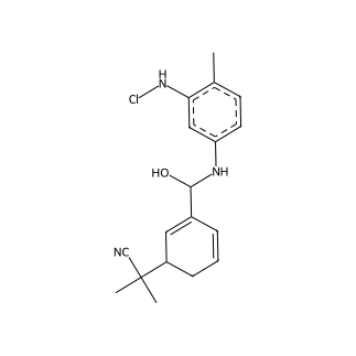 Cc1ccc(NC(O)C2=CC(C(C)(C)C#N)CC=C2)cc1NCl